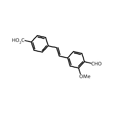 COc1cc(/C=C/c2ccc(C(=O)O)cc2)ccc1C=O